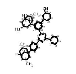 C[C@@H]1C[C@@H]2C[C@H](C)CC(c3ccc(-c4nc(-c5ccccc5)nc(-c5cc(-c6cccc(C#N)c6)cc(C67C[C@H](C)C[C@H](C[C@H](C)C6)C7)c5)n4)cc3)(C1)C2